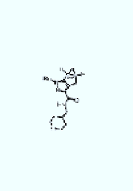 CC(C)(C)n1nc(C(=O)NCC2CCOCC2)c2c1[C@@H]1C[C@@H]1C2